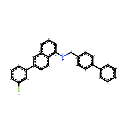 Fc1cccc(-c2ccc3c(NCc4ccc(-c5ccccc5)cc4)cccc3c2)c1